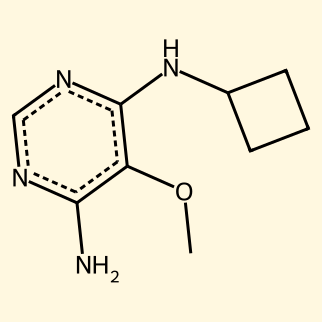 COc1c(N)ncnc1NC1CCC1